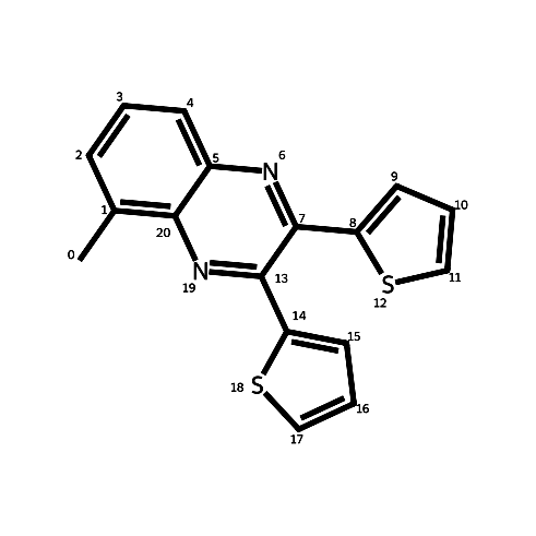 Cc1cccc2nc(-c3cccs3)c(-c3cccs3)nc12